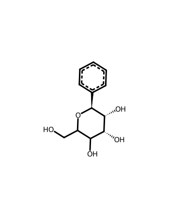 OCC1O[C@@H](c2ccccc2)[C@H](O)[C@H](O)C1O